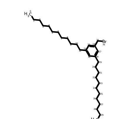 CCCCCCCCCCCCc1cc(CBr)cc(CCCCCCCCCCCC)c1